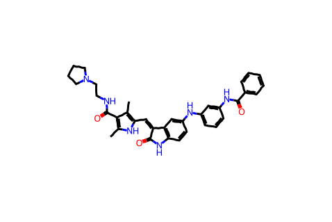 Cc1[nH]c(C=C2C(=O)Nc3ccc(Nc4cccc(NC(=O)c5ccccc5)c4)cc32)c(C)c1C(=O)NCCN1CCCC1